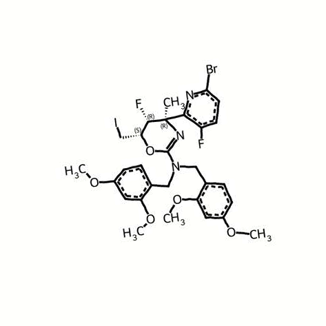 COc1ccc(CN(Cc2ccc(OC)cc2OC)C2=N[C@](C)(c3nc(Br)ccc3F)[C@@H](F)[C@@H](CI)O2)c(OC)c1